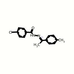 C/C(=N\NC(=O)c1ccc(Cl)cc1)c1ccc(C)cc1